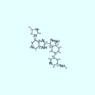 CC1CN(c2cncc3[nH]c(-c4n[nH]c5ccc(-c6cncc(N)c6)cc45)nc23)C=N1